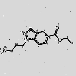 CCOC(=O)c1ccc2c(cnn2CCCN)c1